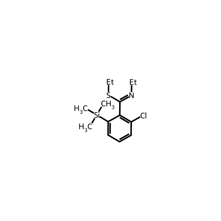 CCN=C(SCC)c1c(Cl)cccc1[Si](C)(C)C